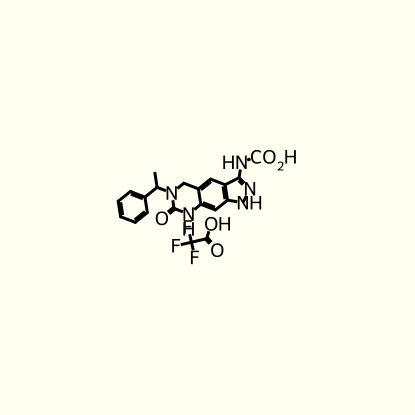 CC(c1ccccc1)N1Cc2cc3c(NC(=O)O)n[nH]c3cc2NC1=O.O=C(O)C(F)(F)F